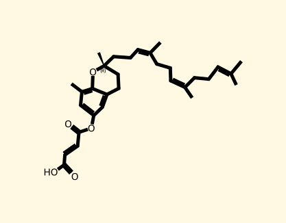 CC(C)=CCCC(C)=CCCC(C)=CCC[C@]1(C)CCc2cc(OC(=O)C=CC(=O)O)cc(C)c2O1